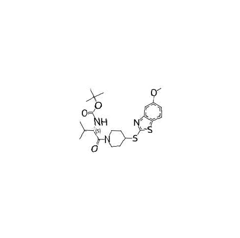 COc1ccc2sc(SC3CCN(C(=O)[C@@H](NC(=O)OC(C)(C)C)C(C)C)CC3)nc2c1